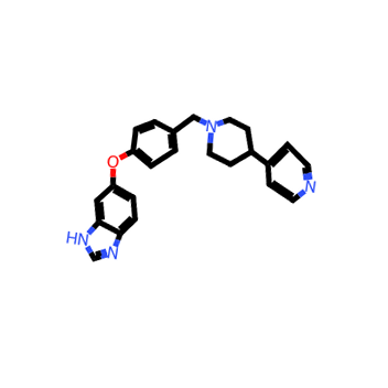 c1cc(C2CCN(Cc3ccc(Oc4ccc5nc[nH]c5c4)cc3)CC2)ccn1